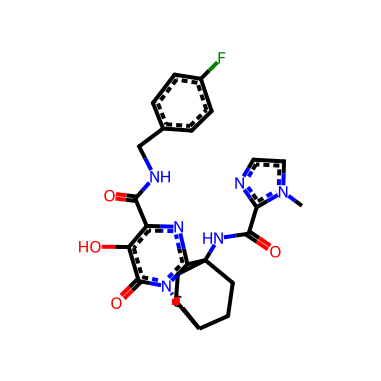 Cn1ccnc1C(=O)NC12CCC(CC1)Cn1c2nc(C(=O)NCc2ccc(F)cc2)c(O)c1=O